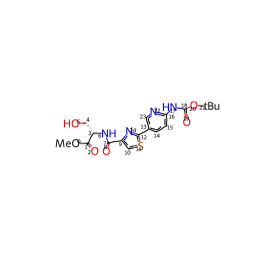 COC(=O)[C@H](CO)NC(=O)c1csc(-c2ccc(NC(=O)OC(C)(C)C)nc2)n1